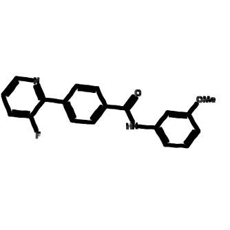 COc1cccc(NC(=O)c2ccc(-c3ncccc3F)cc2)c1